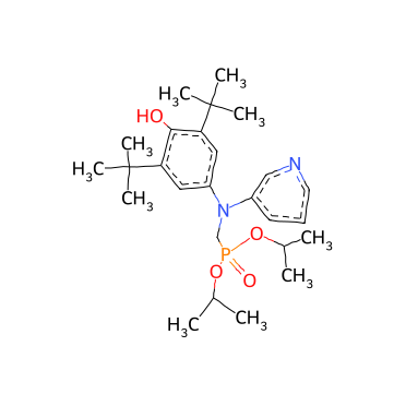 CC(C)OP(=O)(CN(c1cccnc1)c1cc(C(C)(C)C)c(O)c(C(C)(C)C)c1)OC(C)C